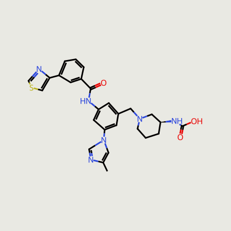 Cc1cn(-c2cc(CN3CCC[C@H](NC(=O)O)C3)cc(NC(=O)c3cccc(-c4cscn4)c3)c2)cn1